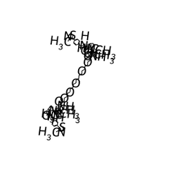 Cc1ncsc1-c1ccc(CNC(=O)[C@@H]2CCCN2C(=O)[C@@H](CNC(=O)COCCOCCCOCCCCOCCCOCC(=O)N[C@H](C(=O)N2CCC[C@H]2C(=O)NCc2ccc(-c3scnc3C)cc2)C(C)(C)C)C(C)(C)C)cc1